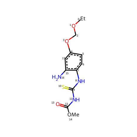 CCOCOc1ccc(NC(=S)NC(=O)OC)c(N)c1